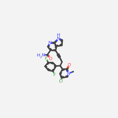 Cn1cc(Cl)cc(C(CC#Cc2c(C(N)=O)cnc3[nH]ccc23)c2cc(F)ccc2F)c1=O